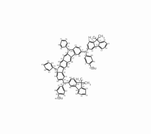 CC(C)(C)c1ccc(N(c2ccc3c(c2)-c2ccccc2C3(C)C)c2ccc3c(c2)c2cc4cc5c6cc(N(c7ccc(C(C)(C)C)cc7)c7ccc8c(c7)-c7ccccc7C8(C)C)ccc6n(-c6ccccc6)c5cc4cc2n3-c2ccccc2)cc1